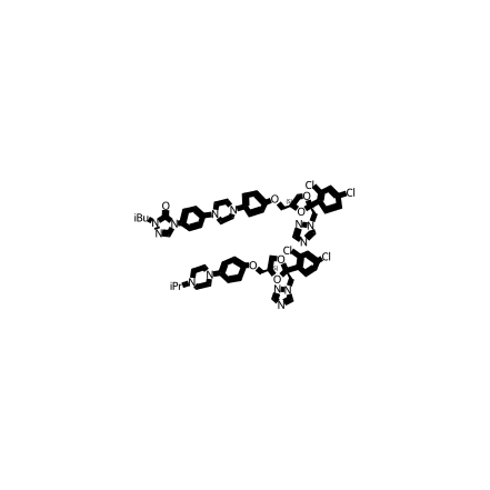 CC(C)N1CCN(c2ccc(OC[C@H]3CO[C@](Cn4cncn4)(c4ccc(Cl)cc4Cl)O3)cc2)CC1.CCC(C)n1ncn(-c2ccc(N3CCN(c4ccc(OC[C@H]5CO[C@](Cn6cncn6)(c6ccc(Cl)cc6Cl)O5)cc4)CC3)cc2)c1=O